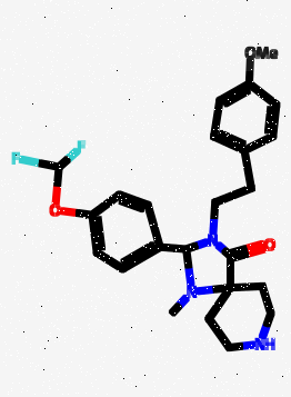 COc1ccc(CCN2C(=O)C3(CCNCC3)N(C)C2c2ccc(OC(F)F)cc2)cc1